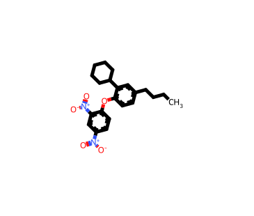 CCCCc1ccc(Oc2ccc([N+](=O)[O-])cc2[N+](=O)[O-])c(C2CCCCC2)c1